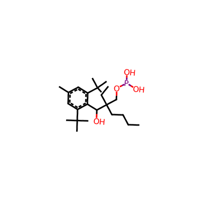 CCCCC(CC)(COP(O)O)C(O)c1c(C(C)(C)C)cc(C)cc1C(C)(C)C